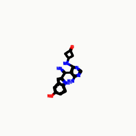 N=C(c1cc2cc(O)ccc2[nH]1)c1c(N)ncnc1NC1CC(=O)C1